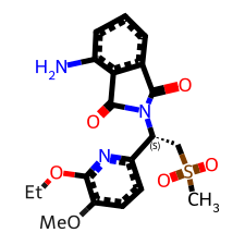 CCOc1nc([C@@H](CS(C)(=O)=O)N2C(=O)c3cccc(N)c3C2=O)ccc1OC